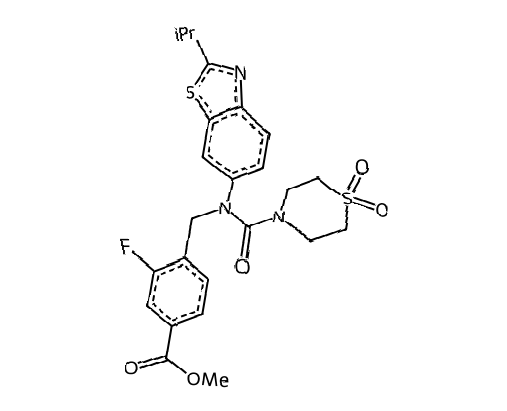 COC(=O)c1ccc(CN(C(=O)N2CCS(=O)(=O)CC2)c2ccc3nc(C(C)C)sc3c2)c(F)c1